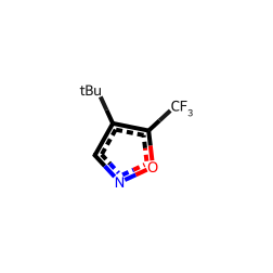 CC(C)(C)c1cnoc1C(F)(F)F